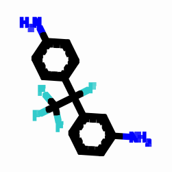 Nc1ccc(C(F)(c2cccc(N)c2)C(F)(F)F)cc1